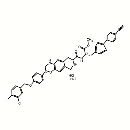 COC(=O)[C@H](Cc1ccc(-c2ccc(C#N)cc2)cc1)NC(=O)C1Cc2cc3c(cc2CN1)O[C@@H](c1ccc(OCc2ccc(Cl)c(Cl)c2)cc1)CN3.Cl.Cl